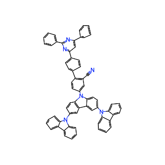 N#Cc1cc(-n2c3ccc(-n4c5ccccc5c5ccccc54)cc3c3cc(-n4c5ccccc5c5ccccc54)ccc32)ccc1-c1ccc(-c2cc(-c3ccccc3)nc(-c3ccccc3)n2)cc1